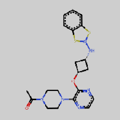 CC(=O)N1CCN(c2nccnc2O[C@H]2C[C@H](NN3Sc4ccccc4S3)C2)CC1